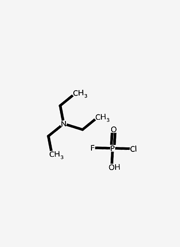 CCN(CC)CC.O=P(O)(F)Cl